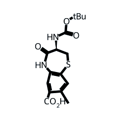 Cc1cc2c(cc1C(=O)O)NC(=O)[C@@H](NC(=O)OC(C)(C)C)CS2